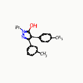 Cc1ccc(-c2c(-c3cccc(C)c3)nn(C(C)C)c2O)cc1